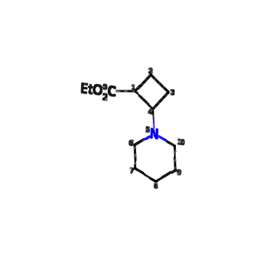 CCOC(=O)C1CCC1N1CCCCC1